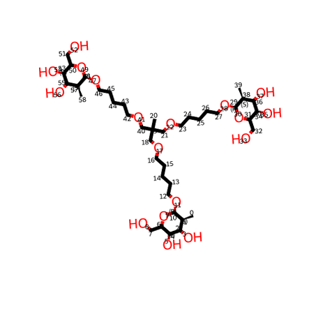 C[C@H]1C(O)[C@@H](O)C(CO)O[C@H]1OCCCCCOCC(C)(COCCCCCO[C@@H]1OC(CO)[C@H](O)C(O)[C@@H]1C)COCCCCCO[C@@H]1OC(CO)[C@H](O)C(O)[C@@H]1C